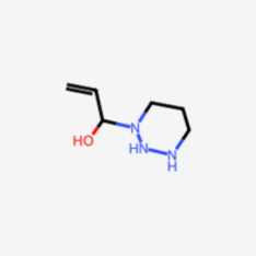 C=CC(O)N1CCCNN1